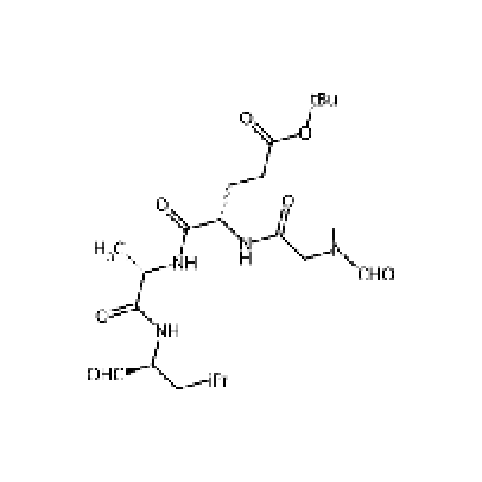 CC(C)C[C@@H](C=O)NC(=O)[C@H](C)NC(=O)[C@H](CCC(=O)OC(C)(C)C)NC(=O)CNC=O